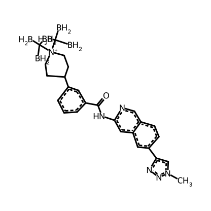 BC(B)(B)[N+]1(C(B)(B)B)CCC(c2cccc(C(=O)Nc3cc4cc(-c5cn(C)nn5)ccc4cn3)c2)CC1